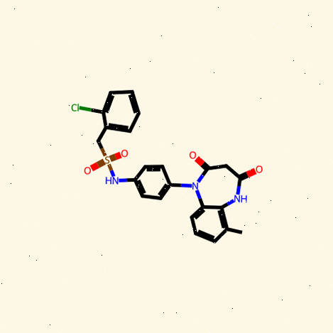 Cc1cccc2c1NC(=O)CC(=O)N2c1ccc(NS(=O)(=O)Cc2ccccc2Cl)cc1